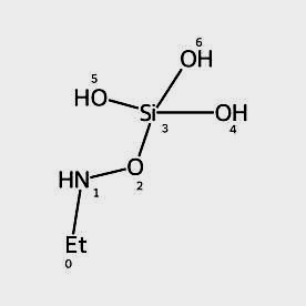 CCNO[Si](O)(O)O